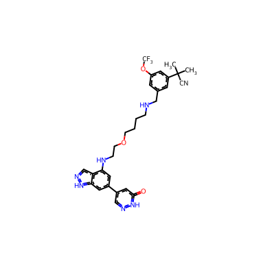 CC(C)(C#N)c1cc(CNCCCCOCCNc2cc(-c3cn[nH]c(=O)c3)cc3[nH]ncc23)cc(OC(F)(F)F)c1